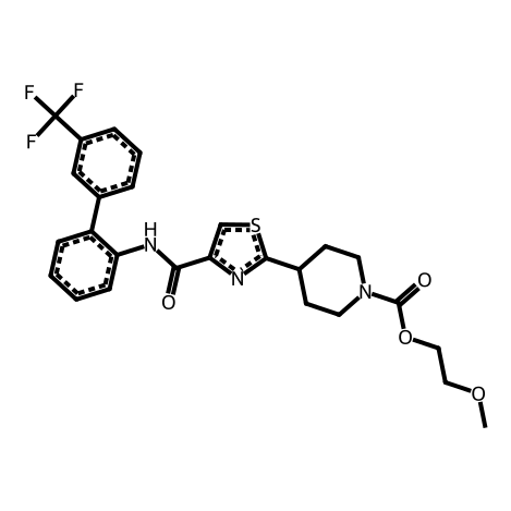 COCCOC(=O)N1CCC(c2nc(C(=O)Nc3ccccc3-c3cccc(C(F)(F)F)c3)cs2)CC1